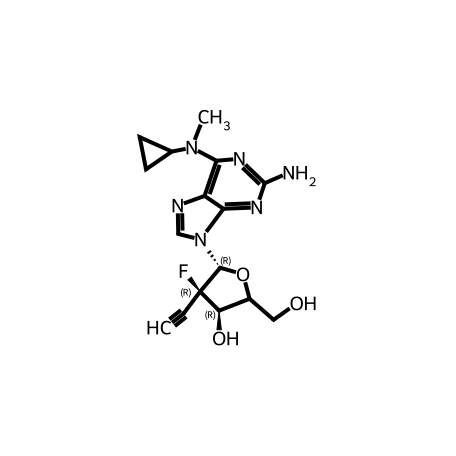 C#C[C@@]1(F)[C@H](O)C(CO)O[C@H]1n1cnc2c(N(C)C3CC3)nc(N)nc21